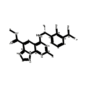 COC(=O)c1cc2c(N[C@H](C)c3cccc(C(F)F)c3F)nc(C)nc2n2ncnc12